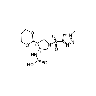 Cn1cc(S(=O)(=O)N2C[C@H](NC(=O)O)[C@@H](C3OCCCO3)C2)nn1